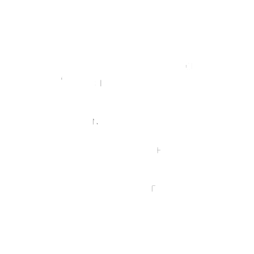 Fc1ccc(CN(CCCl)CC(Cl)c2ccc(Cl)cc2)cc1F